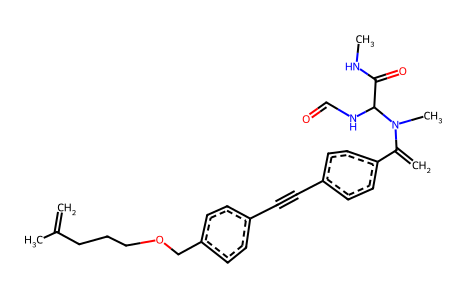 C=C(C)CCCOCc1ccc(C#Cc2ccc(C(=C)N(C)C(NC=O)C(=O)NC)cc2)cc1